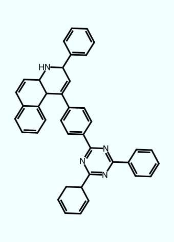 C1=CCC(c2nc(-c3ccccc3)nc(-c3ccc(C4=CC(c5ccccc5)NC5C=Cc6ccccc6C45)cc3)n2)C=C1